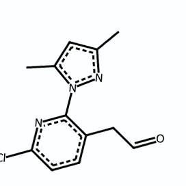 Cc1cc(C)n(-c2nc(Cl)ccc2CC=O)n1